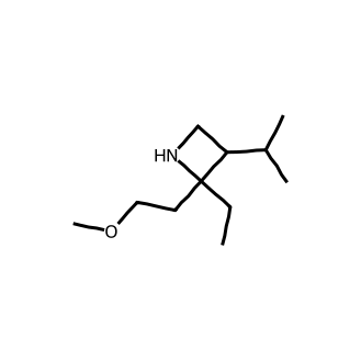 CCC1(CCOC)NCC1C(C)C